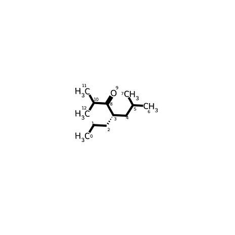 CCC[C@@H](CC(C)C)C(=O)C(C)C